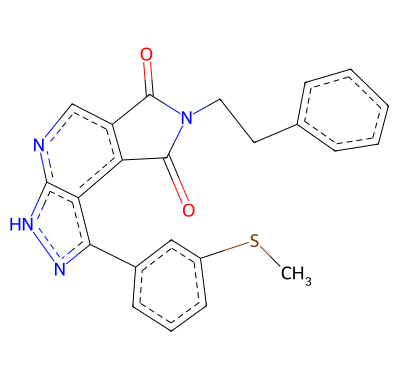 CSc1cccc(-c2n[nH]c3ncc4c(c23)C(=O)N(CCc2ccccc2)C4=O)c1